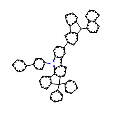 c1ccc(-c2ccc(-n3c4ccc(-c5ccc6c(c5)-c5ccccc5C6c5cccc6ccccc56)cc4c4ccc5c(c43)-c3ccccc3C5(c3ccccc3)c3ccccc3)cc2)cc1